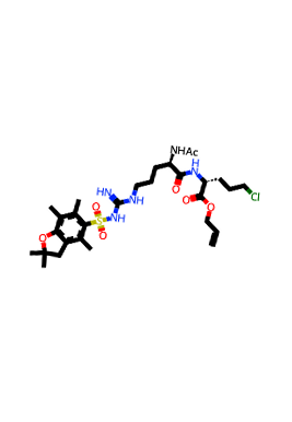 C=CCOC(=O)[C@@H](CCCCl)NC(=O)[C@@H](CCCNC(=N)NS(=O)(=O)c1c(C)c(C)c2c(c1C)CC(C)(C)O2)NC(C)=O